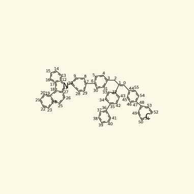 C(=C(\Cc1ccc(-c2ccc(-n3c4ccccc4c4c5ccccc5ccc43)cc2)cc1)c1ccc(-c2ccccc2)cc1)/c1ccc(-c2ccccc2)cc1